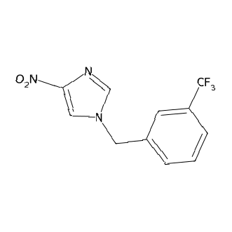 O=[N+]([O-])c1cn(Cc2cccc(C(F)(F)F)c2)cn1